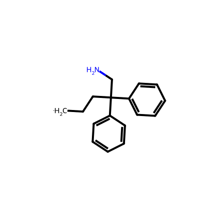 [CH2]CCC(CN)(c1ccccc1)c1ccccc1